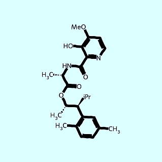 COc1ccnc(C(=O)N[C@@H](C)C(=O)O[C@@H](C)[C@H](c2cc(C)ccc2C)C(C)C)c1O